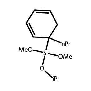 CCCC1([Si](OC)(OC)OC(C)C)C=CC=CC1